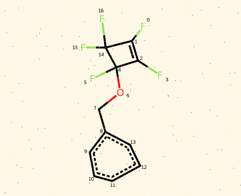 FC1=C(F)C(F)(OCc2ccccc2)C1(F)F